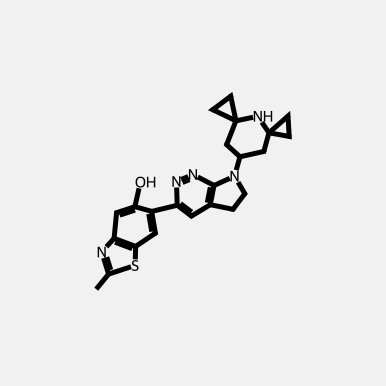 Cc1nc2cc(O)c(-c3cc4c(nn3)N(C3CC5(CC5)NC5(CC5)C3)CC4)cc2s1